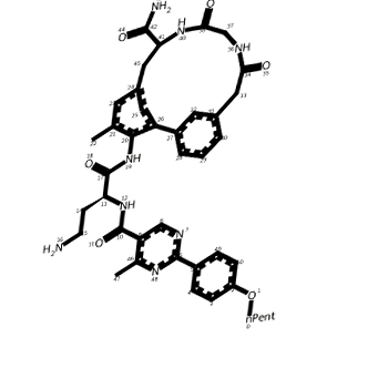 CCCCCOc1ccc(-c2ncc(C(=O)N[C@@H](CCN)C(=O)Nc3c(C)cc4cc3-c3cccc(c3)CC(=O)NCC(=O)NC(C(N)=O)C4)c(C)n2)cc1